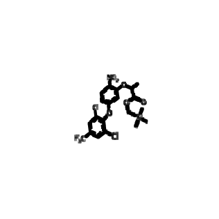 CC(Oc1cc(Oc2c(Cl)cc(C(F)(F)F)cc2Cl)ccc1[N+](=O)[O-])C(=O)OC[Si](C)(C)C